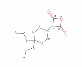 CCCC1(CCC)CCC(C2C(=O)OC2=O)CC1